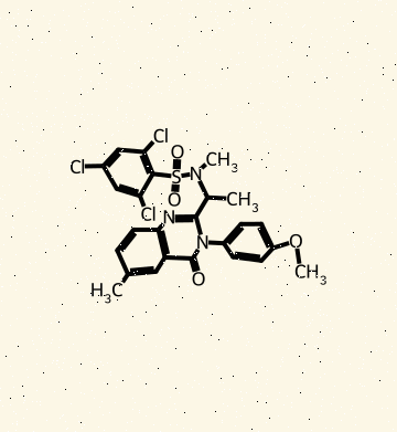 COc1ccc(-n2c(C(C)N(C)S(=O)(=O)c3c(Cl)cc(Cl)cc3Cl)nc3ccc(C)cc3c2=O)cc1